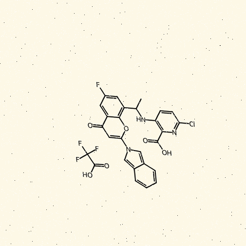 CC(Nc1ccc(Cl)nc1C(=O)O)c1cc(F)cc2c(=O)cc(-n3cc4ccccc4c3)oc12.O=C(O)C(F)(F)F